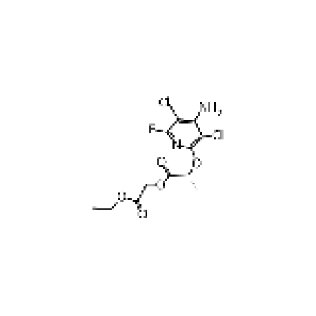 CCOC(=O)COC(=O)[C@@H](C)Oc1nc(F)c(Cl)c(N)c1Cl